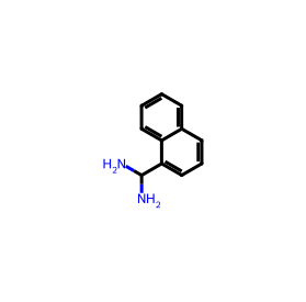 NC(N)c1cccc2ccccc12